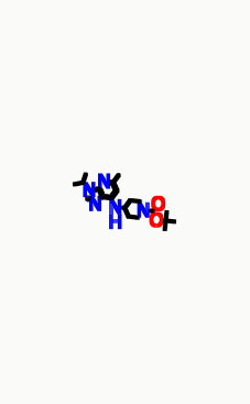 Cc1cc(NC2CCN(C(=O)OC(C)(C)C)CC2)c2ncn(C(C)C)c2n1